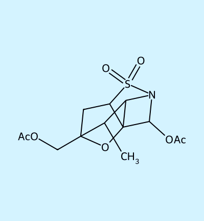 CC(=O)OCC12CC3C4(O1)C(OC(C)=O)N(C4C2C)S3(=O)=O